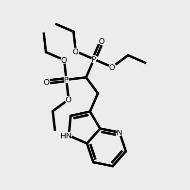 CCOP(=O)(OCC)C(Cc1c[nH]c2cccnc12)P(=O)(OCC)OCC